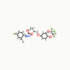 CCC(COc1ccc2c(c1)OC(F)(F)C(F)(F)O2)OC(=O)Nc1ccc(F)cc1C